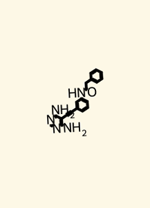 Nc1ncnc(N)c1C#Cc1cccc(NC(=O)Cc2ccccc2)c1